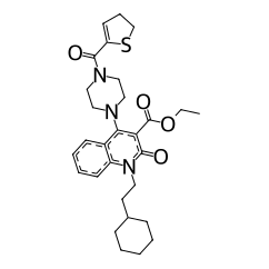 CCOC(=O)c1c(N2CCN(C(=O)C3=CCCS3)CC2)c2ccccc2n(CCC2CCCCC2)c1=O